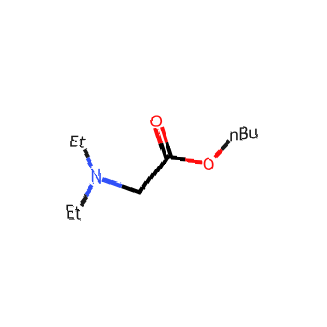 CCCCOC(=O)CN(CC)CC